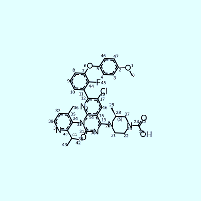 COc1ccc(Oc2cccc(-c3nc4c(cc3Cl)c(N3CCN(C(=O)O)C[C@@H]3C)nc(=O)n4-c3c(C)ccnc3C(C)C)c2F)cc1